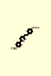 CCCCCCc1ccc(CCc2ccc(-c3ccc(OCC)cc3)nc2)cc1